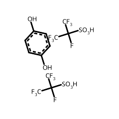 O=S(=O)(O)C(F)(C(F)(F)F)C(F)(F)F.O=S(=O)(O)C(F)(C(F)(F)F)C(F)(F)F.Oc1ccc(O)cc1